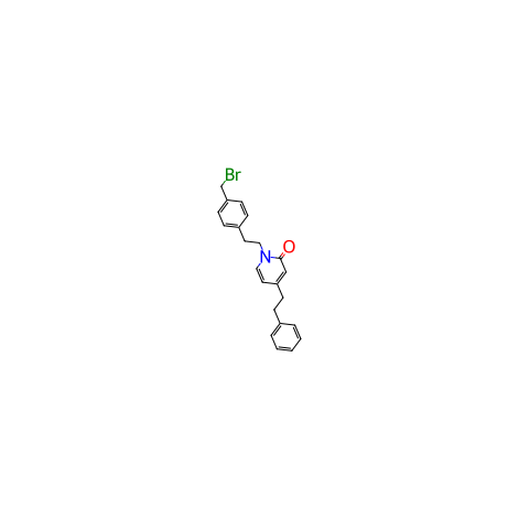 O=c1cc(CCc2ccccc2)ccn1CCc1ccc(CBr)cc1